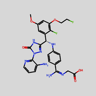 COc1cc(OCCF)c(F)c([C@H](Nc2ccc(/C(N)=N\CC(=O)O)cc2)c2nn(-c3ncccc3N)c(=O)[nH]2)c1